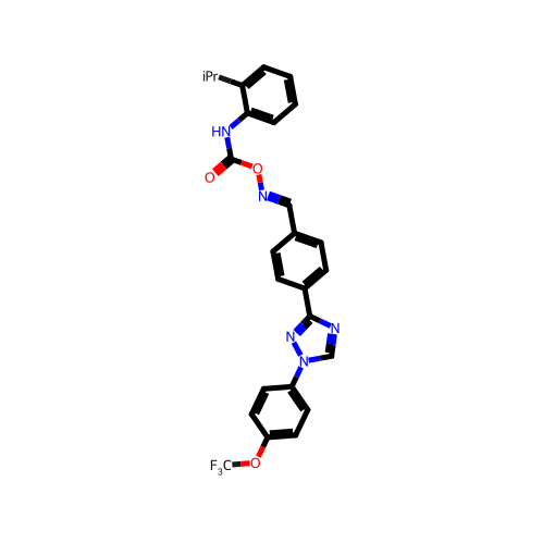 CC(C)c1ccccc1NC(=O)ON=Cc1ccc(-c2ncn(-c3ccc(OC(F)(F)F)cc3)n2)cc1